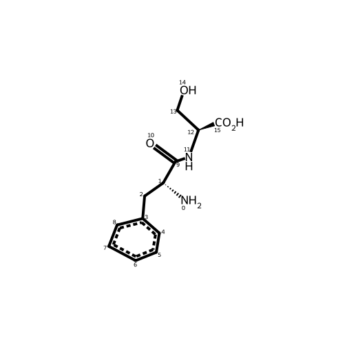 N[C@H](Cc1ccccc1)C(=O)N[C@@H](CO)C(=O)O